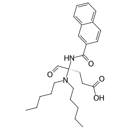 CCCCCN(CCCCC)[C@](C=O)(CCC(=O)O)NC(=O)c1ccc2ccccc2c1